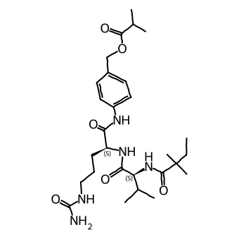 CCC(C)(C)C(=O)N[C@H](C(=O)N[C@@H](CCCNC(N)=O)C(=O)Nc1ccc(COC(=O)C(C)C)cc1)C(C)C